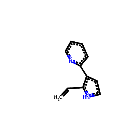 C=Cc1[nH]ccc1-c1ccccn1